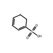 O=S(=O)(O)C1=C[C]=C[C]C1